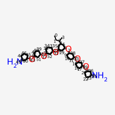 CCC(C)c1cc(Oc2cccc(Oc3cccc(Oc4cccc(N)c4)c3)c2)cc(Oc2cccc(Oc3cccc(Oc4cccc(N)c4)c3)c2)c1